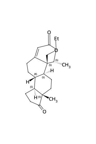 CCOC[C@@]12C(=CC(=O)C[C@@H]1C)CC[C@@H]1[C@@H]2CC[C@]2(C)C(=O)CC[C@@H]12